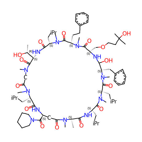 CC(C)C[C@@H]1NC(=O)[C@H](C)N(C)C(=O)C[C@@H](C(=O)N2CCCCC2)NC(=O)[C@H](CC(C)C)N(C)C(=O)CN(C)C(=O)[C@H]([C@@H](C)O)NC(=O)[C@H](CC(C)C)N(C)C(=O)[C@H](CCc2ccccc2)N(C)C(=O)[C@H](COCCC(C)(C)O)NC(O)[C@H](Cc2ccccc2)N(C)C(=O)[C@H](CC(C)C)N(C)C1=O